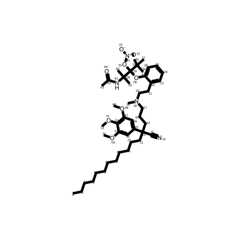 CCCCCCCCCCCCC(C#N)(CCCN(C)CCc1ccccc1OC(O[N+](=O)[O-])(C(C)(C)C)C(C)(C)NC(C)=O)c1cc(OC)c(OC)c(OC)c1